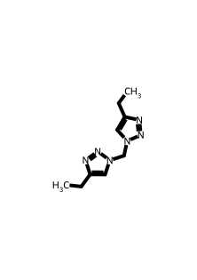 CCc1cn(Cn2cc(CC)nn2)nn1